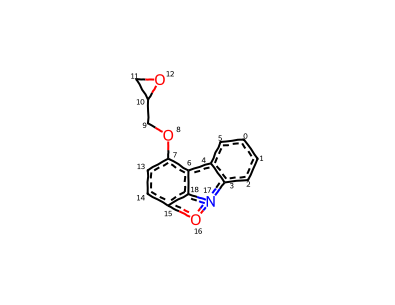 c1ccc2c(c1)c1c(OCC3CO3)ccc3on2c31